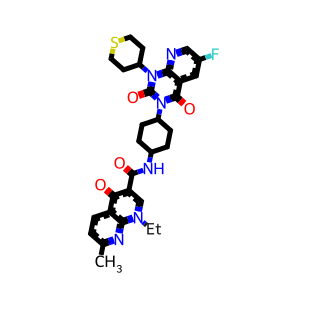 CCn1cc(C(=O)NC2CCC(n3c(=O)c4cc(F)cnc4n(C4CCSCC4)c3=O)CC2)c(=O)c2ccc(C)nc21